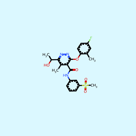 Cc1cc(F)ccc1Oc1nnc(C(C)O)c(C)c1C(=O)Nc1cccc(S(C)(=O)=O)c1